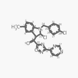 Cc1ccc2c(c1)C(C(=O)c1nc(-c3ccncn3)no1)C(Cl)N2Cc1ccc(Cl)cc1